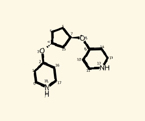 C1CC(O[C@@H]2CC[C@@H](OC3CCNCC3)C2)CCN1